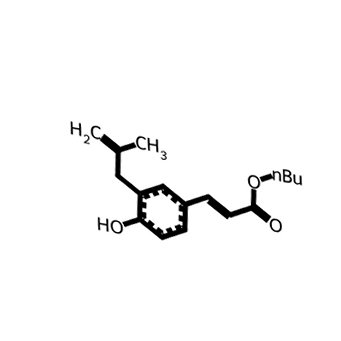 C=C(C)Cc1cc(C=CC(=O)OCCCC)ccc1O